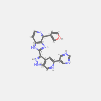 c1ncc(-c2cc3c(-c4nc5c(-c6ccoc6)nccc5[nH]4)n[nH]c3cn2)cn1